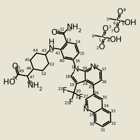 CS(=O)(=O)O.CS(=O)(=O)O.NC(=O)c1ccc(-n2cc(C(F)(F)F)c3c(-c4cnc5ccccc5c4)ccnc32)cc1NC1CCC(C(N)C(=O)O)CC1